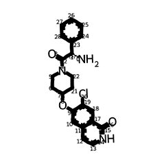 N[C@H](C(=O)N1CCC(Oc2cc3cc[nH]c(=O)c3cc2Cl)CC1)c1ccccc1